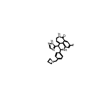 O=C1NCC=C2c3c(cc(F)cc31)NC(c1ccc(CN3CCC3)cc1)C2c1ncn[nH]1